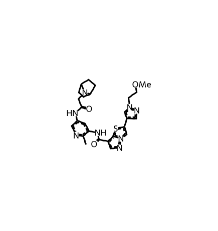 COCCn1cc(-c2cn3ncc(C(=O)Nc4cc(NC(=O)CN5C6CCC5CC6)cnc4C)c3s2)cn1